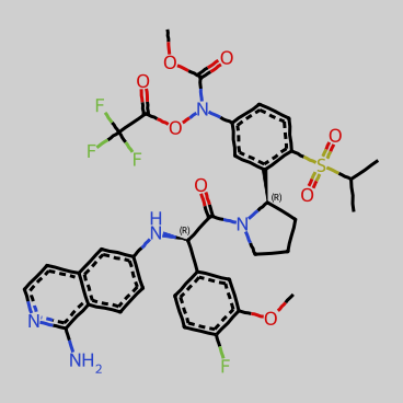 COC(=O)N(OC(=O)C(F)(F)F)c1ccc(S(=O)(=O)C(C)C)c([C@H]2CCCN2C(=O)[C@H](Nc2ccc3c(N)nccc3c2)c2ccc(F)c(OC)c2)c1